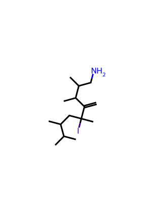 C=C(C(C)C(C)CN)C(C)(I)CC(C)C(C)C